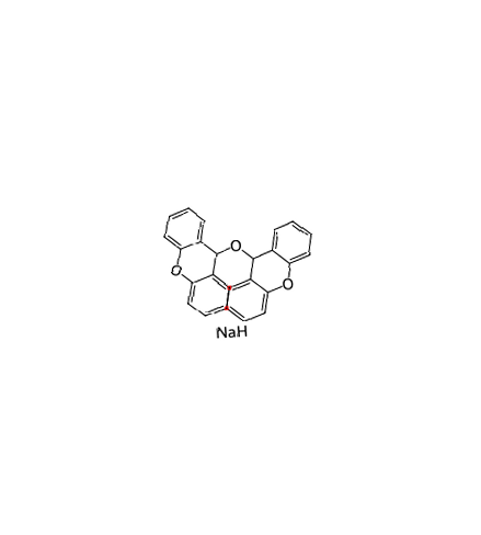 [NaH].c1ccc2c(c1)Oc1ccccc1C2OC1c2ccccc2Oc2ccccc21